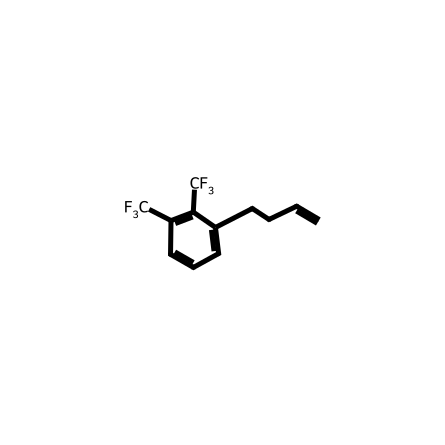 C=CCCc1cccc(C(F)(F)F)c1C(F)(F)F